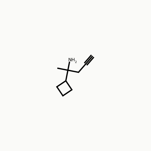 C#CCC(C)(N)C1CCC1